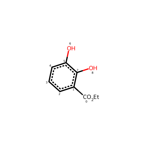 CCOC(=O)c1cccc(O)c1O